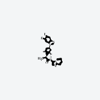 CC(C(=O)Nc1cnc2ccccn12)[C@H]1[C@@H]2C[C@@H](n3cnc4cc(F)c(F)cc43)C[C@@H]21